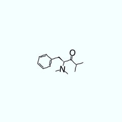 CC(C)C(=O)[C@H](Cc1ccccc1)N(C)C